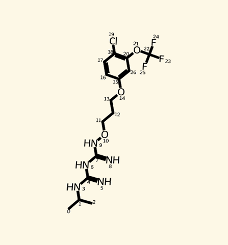 CC(C)NC(=N)NC(=N)NOCCCOc1ccc(Cl)c(OC(F)(F)F)c1